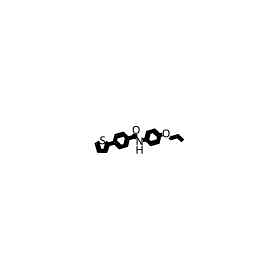 CCCOc1ccc(NC(=O)c2ccc(-c3cccs3)cc2)cc1